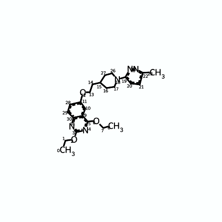 CCOc1nc(OCC)c2cc(OCCC3CCN(c4ccc(C)nn4)CC3)ccc2n1